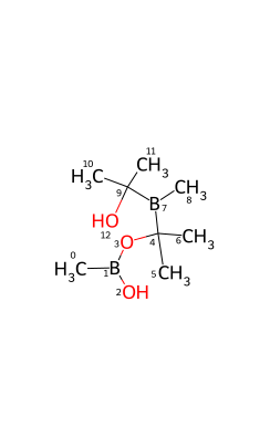 CB(O)OC(C)(C)B(C)C(C)(C)O